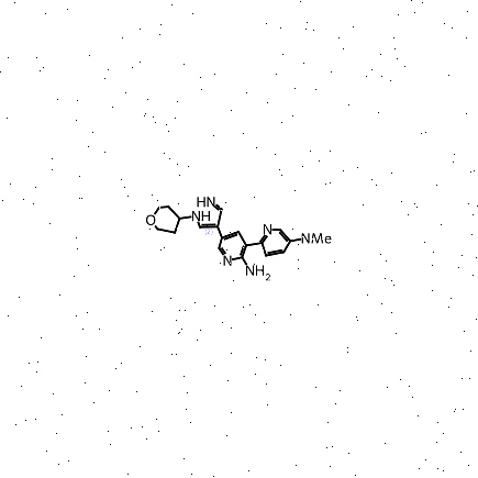 CNc1ccc(-c2cc(/C(C=N)=C/NC3CCOCC3)cnc2N)nc1